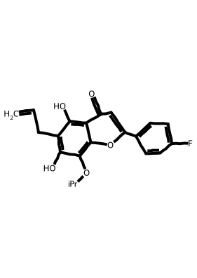 C=CCc1c(O)c(OC(C)C)c2oc(-c3ccc(F)cc3)cc(=O)c2c1O